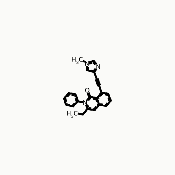 CCc1cc2cccc(C#Cc3cn(C)cn3)c2c(=O)n1-c1ccccc1